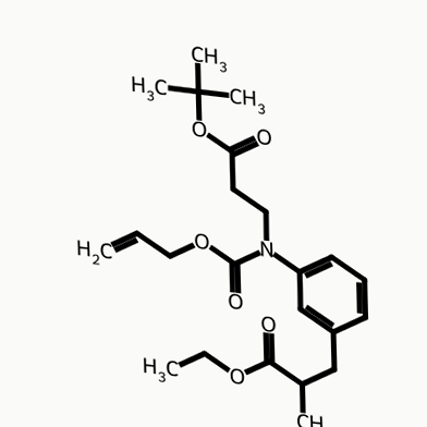 C=CCOC(=O)N(CCC(=O)OC(C)(C)C)c1cccc(CC(C)C(=O)OCC)c1